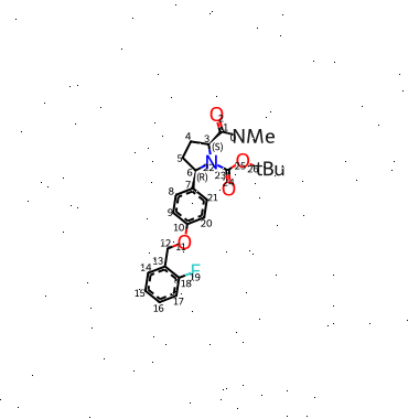 CNC(=O)[C@@H]1CC[C@H](c2ccc(OCc3ccccc3F)cc2)N1C(=O)OC(C)(C)C